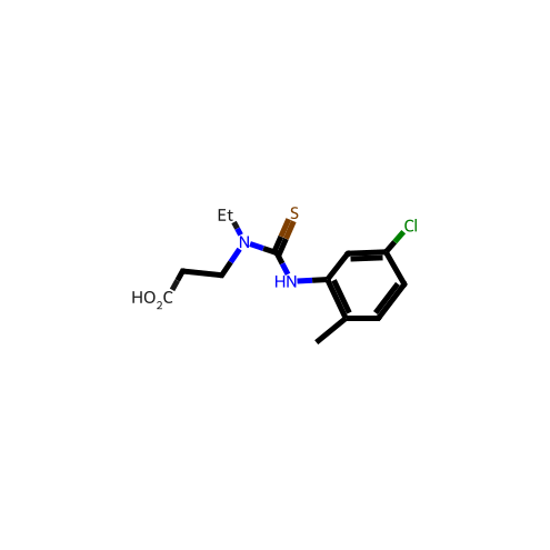 CCN(CCC(=O)O)C(=S)Nc1cc(Cl)ccc1C